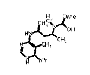 CCCC1NC=NC(NC(C)CC(C)N(C)C(O)OC)=C1C